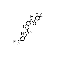 O=C(Nc1ccc2c(c1)CC(C(=O)NCc1ccc(C(F)(F)F)cc1)CO2)c1ccc(Cl)c(F)c1